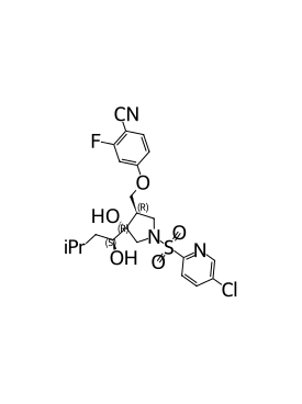 CC(C)C[C@H](O)[C@]1(O)CN(S(=O)(=O)c2ccc(Cl)cn2)C[C@@H]1COc1ccc(C#N)c(F)c1